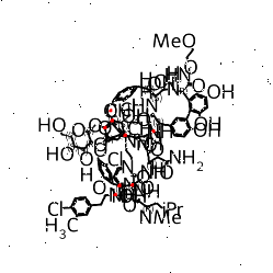 CN[C@H](CC(C)C)C(=O)N[C@H]1C(=O)N[C@@H](CC(N)=O)C(=O)NC2C(=O)N[C@H]3C(=O)N[C@H](C(=O)N[C@@H](C(=O)NOCCOC)c4cc(O)cc(O)c4-c4cc3ccc4O)[C@H](O)c3ccc(c(Cl)c3)Oc3cc2cc(c3O[C@@H]2O[C@H](CO)[C@@H](O)[C@H](O)[C@H]2O[C@H]2C[C@](C)(NCCn3ccc(NC(=O)Cc4ccc(Cl)c(C)c4)nc3=O)[C@H](O)[C@H](C)O2)Oc2ccc(cc2Cl)[C@H]1O